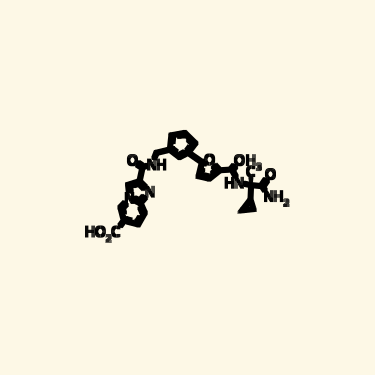 C[C@@](NC(=O)c1ccc(-c2cccc(CNC(=O)c3cn4cc(C(=O)O)ccc4n3)c2)o1)(C(N)=O)C1CC1